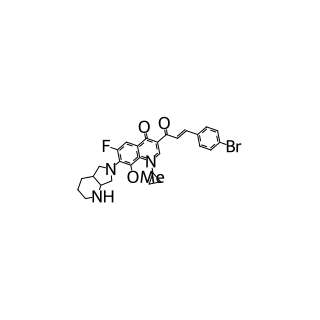 COc1c(N2CC3CCCNC3C2)c(F)cc2c(=O)c(C(=O)C=Cc3ccc(Br)cc3)cn(C3CC3)c12